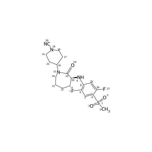 CS(=O)(=O)c1cc(F)c(N[C@H]2CCCCN(C3CCN(C#N)CC3)C2=O)cc1F